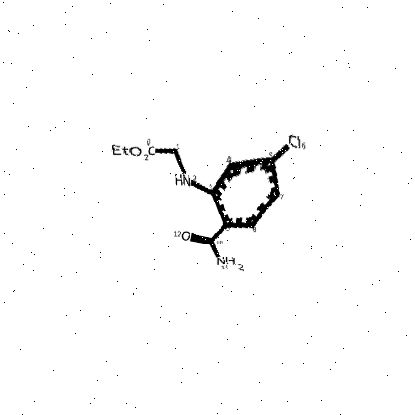 CCOC(=O)CNc1cc(Cl)ccc1C(N)=O